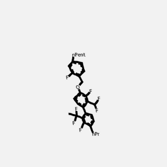 CCCCCc1ccc(COc2ccc(-c3ccc(CCC)c(F)c3C(C)(F)F)c(C(F)F)c2F)c(F)c1